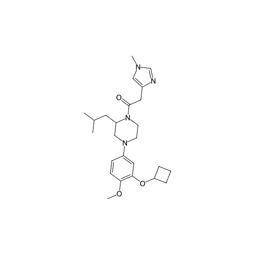 COc1ccc(N2CCN(C(=O)Cc3cn(C)cn3)C(CC(C)C)C2)cc1OC1CCC1